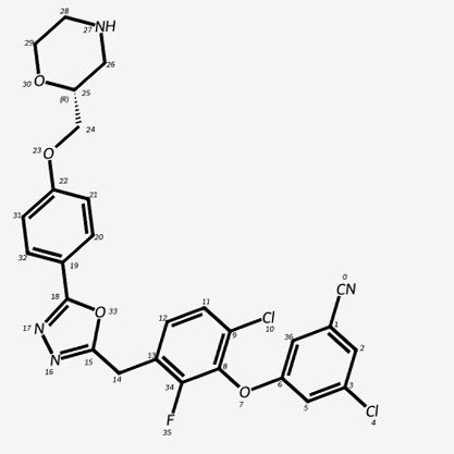 N#Cc1cc(Cl)cc(Oc2c(Cl)ccc(Cc3nnc(-c4ccc(OC[C@H]5CNCCO5)cc4)o3)c2F)c1